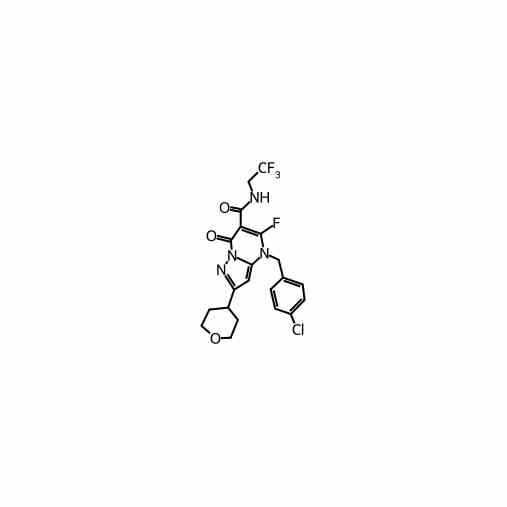 O=C(NCC(F)(F)F)c1c(F)n(Cc2ccc(Cl)cc2)c2cc(C3CCOCC3)nn2c1=O